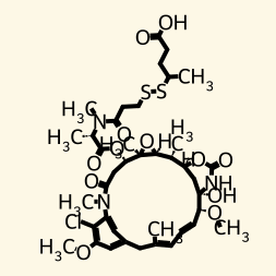 COc1cc2cc(c1Cl)N(C)C(=O)C[C@H](OC(=O)[C@H](C)N(C)C(=O)CCSSC(C)CCC(=O)O)[C@]1(C)O[C@H]1[C@H](C)[C@@H]1C[C@@](O)(NC(=O)O1)[C@H](OC)/C=C/C=C(\C)C2